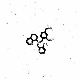 Cc1cccnc1CN(Cc1ccc(CN)cc1CO)C1CCCc2cccnc21